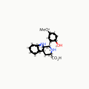 COc1ccc(O)c([C@H]2N[C@@H](C(=O)O)Cc3c2[nH]c2ccccc32)c1